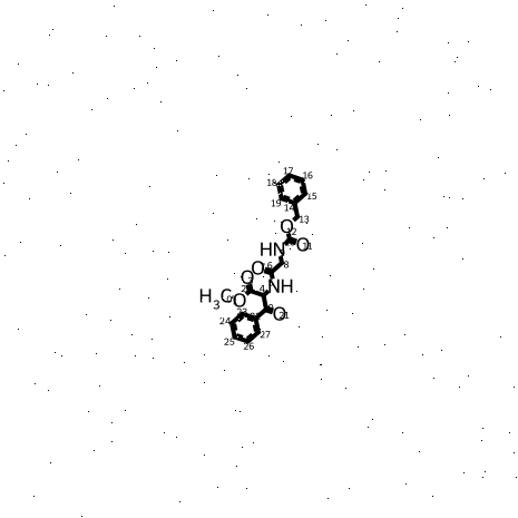 COC(=O)C(NC(=O)CNC(=O)OCc1ccccc1)C(=O)c1ccccc1